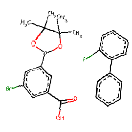 CC1(C)OB(c2cc(Br)cc(C(=O)O)c2)OC1(C)C.Fc1ccccc1-c1ccccc1